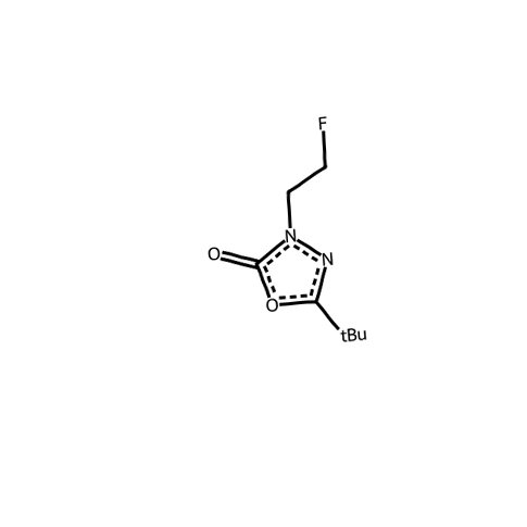 CC(C)(C)c1nn(CCF)c(=O)o1